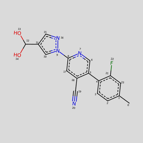 Cc1ccc(-c2cnc(-n3cc(C(O)O)cn3)cc2C#N)c(F)c1